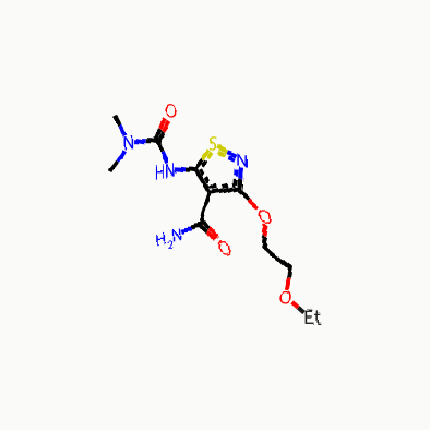 CCOCCOc1nsc(NC(=O)N(C)C)c1C(N)=O